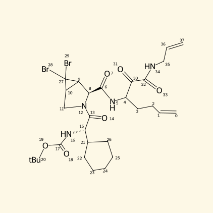 C=CCCC(NC(=O)[C@@H]1C2C(CN1C(=O)[C@@H](NC(=O)OC(C)(C)C)C1CCCCC1)C2(Br)Br)C(=O)C(=O)NCC=C